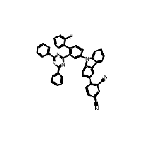 N#Cc1ccc(-c2ccc3c(c2)c2ccccc2n3-c2ccc(-c3ccccc3F)c(-c3nc(-c4ccccc4)nc(-c4ccccc4)n3)c2)c(C#N)c1